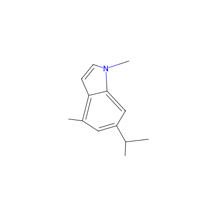 Cc1cc(C(C)C)cc2c1ccn2C